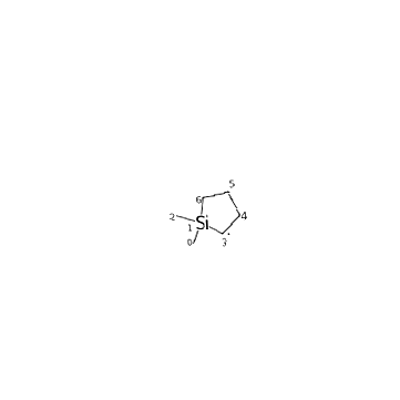 C[Si]1(C)[CH]CCC1